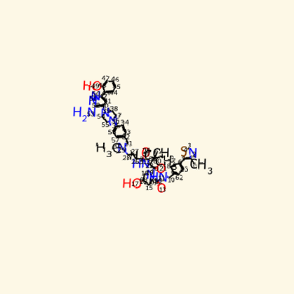 Cc1ncsc1-c1ccc(CNC(=O)[C@@H]2C[C@@H](O)CN2C(=O)C(NC(=O)CCCN(C)Cc2ccc(N3CCN(c4cc(-c5ccccc5O)nnc4N)CC3)cc2)C(C)(C)C)cc1